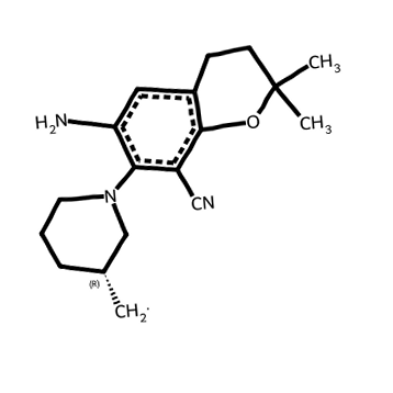 [CH2][C@@H]1CCCN(c2c(N)cc3c(c2C#N)OC(C)(C)CC3)C1